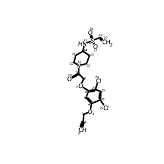 C#CCOc1cc(OCC(=O)N2CCC(NS(=O)(=O)C=C)CC2)c(Cl)cc1Cl